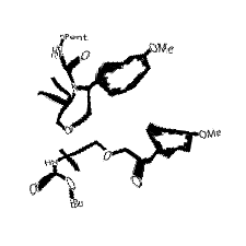 CCCCCNC(=O)N1C(c2ccc(OC)cc2)COCC1(C)C.COc1ccc(C(=O)COCC(C)(C)NC(=O)OC(C)(C)C)cc1